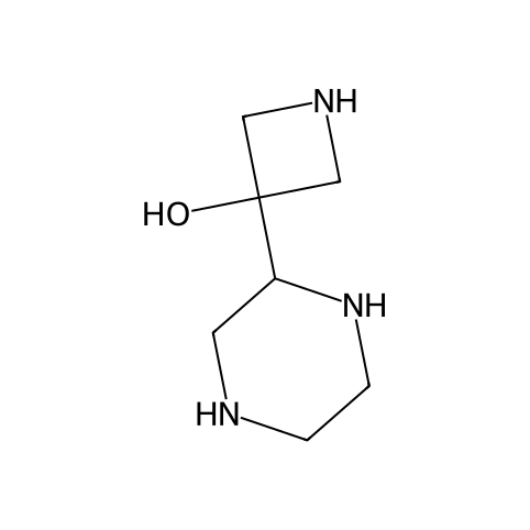 OC1(C2CNCCN2)CNC1